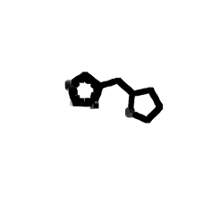 [c]1nc(CC2CCCO2)co1